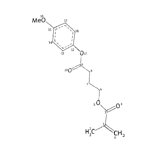 C=C(C)C(=O)OCCCC(=O)Oc1ccc(OC)cc1